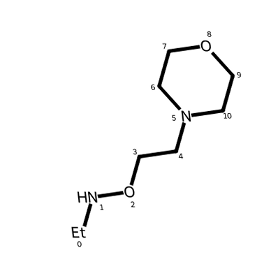 CCNOCCN1CCOCC1